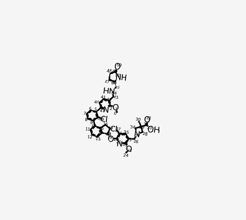 COc1nc(-c2cccc(-c3cccc4c3CC[C@@H]4Oc3nc(OC)c(CN4CC(C)(C(=O)O)C4)cc3Cl)c2Cl)ccc1CNC[C@@H]1CCC(=O)N1